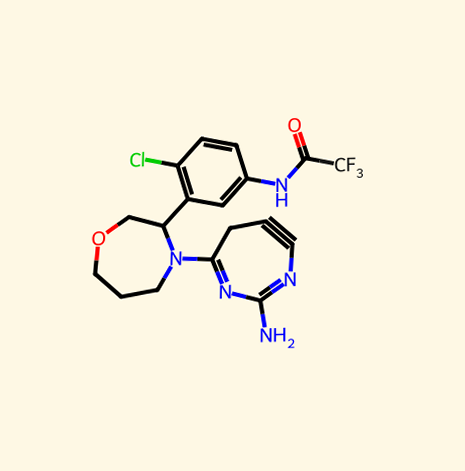 NC1=NC#CCC(N2CCCOCC2c2cc(NC(=O)C(F)(F)F)ccc2Cl)=N1